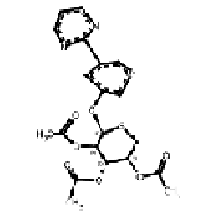 CC(=O)O[C@@H]1[C@@H](OC(C)=O)[C@@H](Oc2cncc(-c3ncccn3)c2)SC[C@H]1OC(C)=O